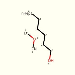 CCCCCCCCCCCCO.CCOC#N